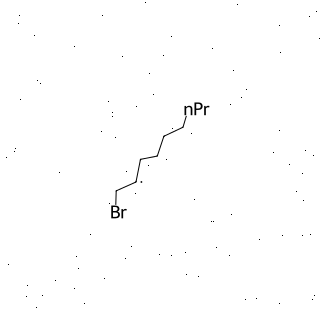 CCCCCCC[CH]CBr